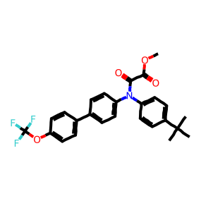 COC(=O)C(=O)N(c1ccc(-c2ccc(OC(F)(F)F)cc2)cc1)c1ccc(C(C)(C)C)cc1